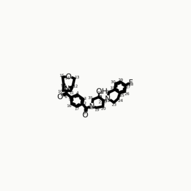 O=C(c1ccc(C(=O)N2C3CCC2COC3)cc1)N1CC[C@@H](N2CCc3cc(F)ccc3C2)[C@H](O)C1